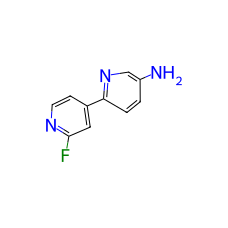 Nc1ccc(-c2ccnc(F)c2)nc1